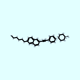 CCCCCCc1ccc2cc(C#Cc3ccc([C@H]4CC[C@H](C)CC4)cc3)ccc2c1